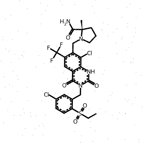 CCS(=O)(=O)c1ccc(Cl)cc1Cn1c(=O)[nH]c2c(Cl)c(CN3CCC[C@@]3(C)C(N)=O)c(C(F)(F)F)cc2c1=O